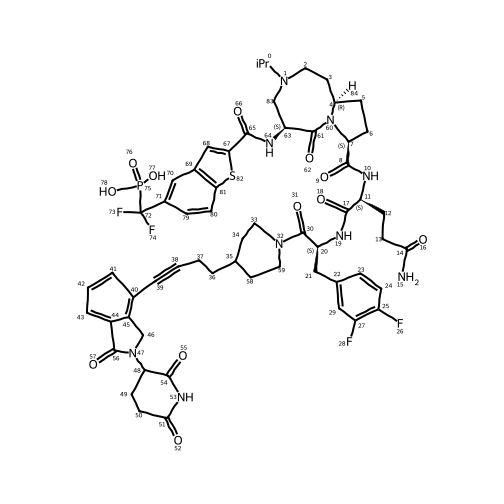 CC(C)N1CC[C@H]2CC[C@@H](C(=O)N[C@@H](CCC(N)=O)C(=O)N[C@@H](Cc3ccc(F)c(F)c3)C(=O)N3CCC(CCC#Cc4cccc5c4CN(C4CCC(=O)NC4=O)C5=O)CC3)N2C(=O)[C@@H](NC(=O)c2cc3cc(C(F)(F)P(=O)(O)O)ccc3s2)C1